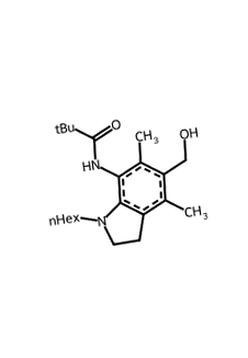 CCCCCCN1CCc2c(C)c(CO)c(C)c(NC(=O)C(C)(C)C)c21